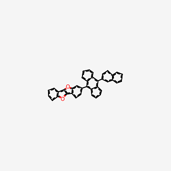 c1ccc2cc(-c3c4ccccc4c(-c4ccc5c(c4)oc4c6ccccc6oc54)c4ccccc34)ccc2c1